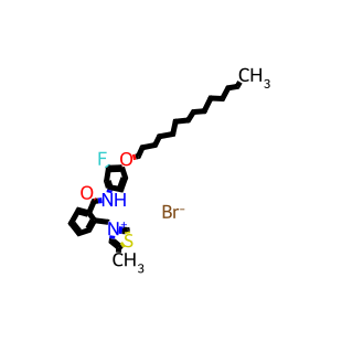 CCCCCCCCCCCCCCOc1ccc(NC(=O)c2ccccc2C[n+]2csc(C)c2)cc1F.[Br-]